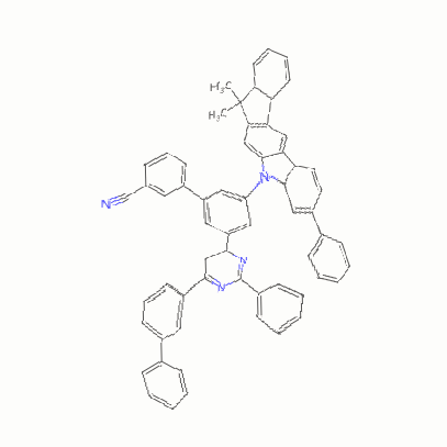 CC1(C)c2cc3c(cc2C2C=CC=CC21)C1C=CC(c2ccccc2)=CC1N3c1cc(-c2cccc(C#N)c2)cc(C2CC(c3cccc(-c4ccccc4)c3)=NC(c3ccccc3)=N2)c1